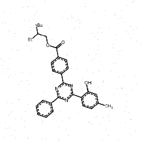 CCCCC(CC)COC(=O)c1ccc(-c2nc(-c3ccccc3)nc(-c3ccc(C)cc3O)n2)cc1